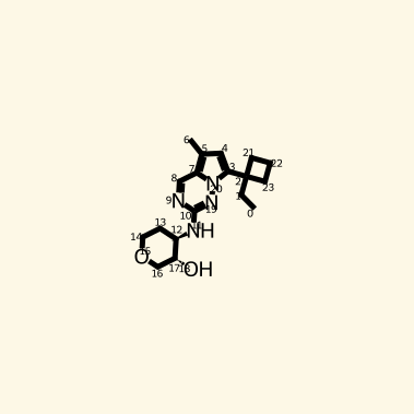 CCC1(c2cc(C)c3cnc(N[C@@H]4CCOC[C@H]4O)nn23)CCC1